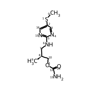 CSc1cnc(NC[C@H](C)COC(N)=O)nc1